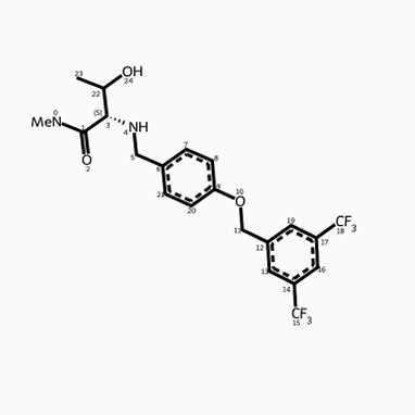 CNC(=O)[C@@H](NCc1ccc(OCc2cc(C(F)(F)F)cc(C(F)(F)F)c2)cc1)C(C)O